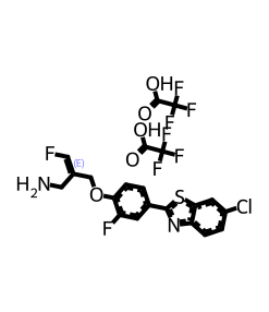 NC/C(=C\F)COc1ccc(-c2nc3ccc(Cl)cc3s2)cc1F.O=C(O)C(F)(F)F.O=C(O)C(F)(F)F